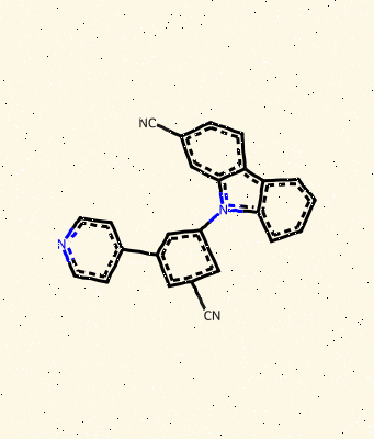 N#Cc1cc(-c2ccncc2)cc(-n2c3ccccc3c3ccc(C#N)cc32)c1